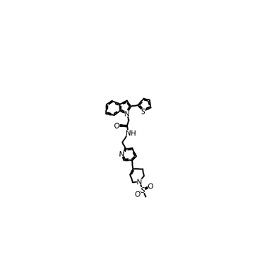 CS(=O)(=O)N1CC=C(c2ccc(CNC(=O)Cn3c(-c4cccs4)cc4ccccc43)nc2)CC1